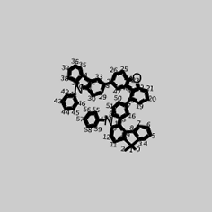 CC1(C)c2ccccc2-c2c1ccc1c2c2cc(-c3cccc4oc5ccc(-c6ccc7c(c6)c6ccccc6n7-c6ccccc6)cc5c34)ccc2n1-c1ccccc1